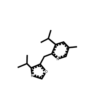 Cc1cnc(Cc2ocnc2C(C)C)c(C(C)C)c1